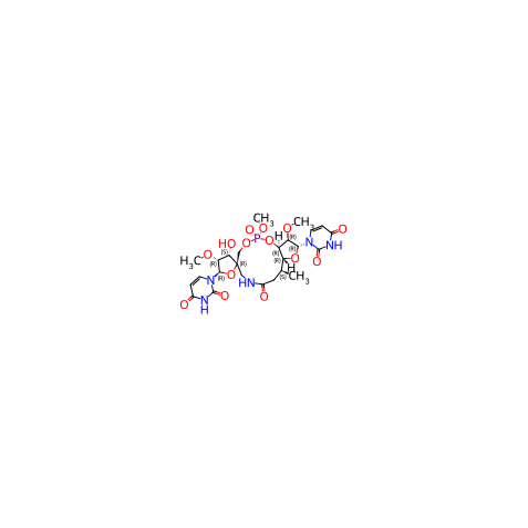 CO[C@@H]1[C@@H]2OP(=O)(OC)OC[C@@]3(CNC(=O)C[C@H](C)[C@H]2O[C@H]1n1ccc(=O)[nH]c1=O)O[C@@H](n1ccc(=O)[nH]c1=O)[C@H](OC)[C@@H]3O